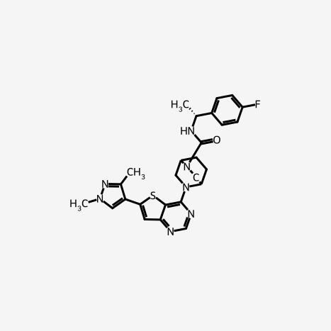 Cc1nn(C)cc1-c1cc2ncnc(N3CC4CCC3CN4C(=O)N[C@H](C)c3ccc(F)cc3)c2s1